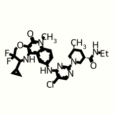 CCNC(=O)[C@H]1C[C@@H](C)CN(c2ncc(Cl)c(Nc3ccc4c(c3)c3c(c(=O)n4C)OCC(F)(F)C(C4CC4)N3)n2)C1